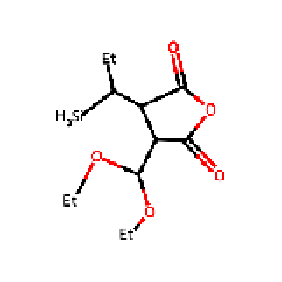 CCOC(OCC)C1C(=O)OC(=O)C1C([SiH3])CC